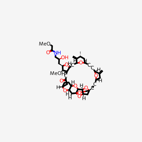 C=C1C[C@@H]2CC[C@@]34C[C@H]5OC6C(O[C@H]7CC[C@H](CC(=O)C[C@@H]8[C@@H](OC)[C@@H](C[C@H](O)CNC(=O)COC)O[C@H]8C[C@H]8O[C@@H](CC[C@@H]1O2)C[C@@H](C)C8=C)O[C@@H]7[C@@H]6O3)[C@H]5O4